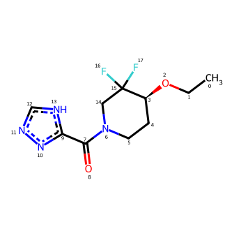 CCO[C@H]1CCN(C(=O)c2nnc[nH]2)CC1(F)F